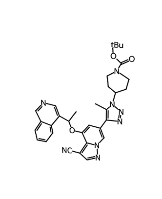 Cc1c(-c2cc(OC(C)c3cncc4ccccc34)c3c(C#N)cnn3c2)nnn1C1CCN(C(=O)OC(C)(C)C)CC1